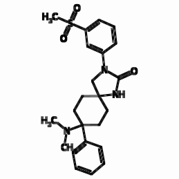 CN(C)C1(c2ccccc2)CCC2(CC1)CN(c1cccc(S(C)(=O)=O)c1)C(=O)N2